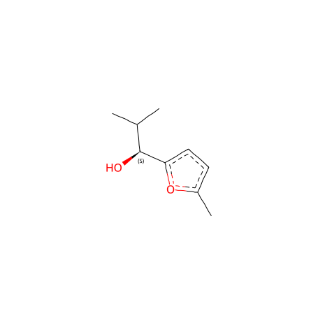 Cc1ccc([C@@H](O)C(C)C)o1